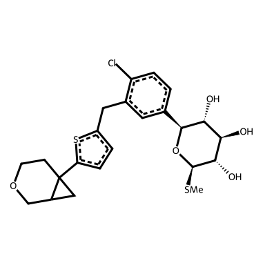 CS[C@H]1O[C@@H](c2ccc(Cl)c(Cc3ccc(C45CCOCC4C5)s3)c2)[C@H](O)[C@@H](O)[C@@H]1O